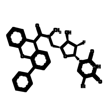 CCc1cn([C@@H]2O[C@H](CN(C)C(=O)C3c4ccccc4Oc4c(-c5ccccc5)cccc43)[C@@H](O)[C@@H]2F)c(=O)[nH]c1=O